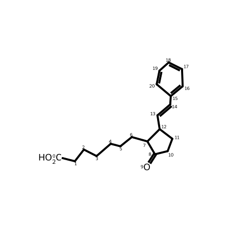 O=C(O)CCCCCCC1C(=O)CCC1C=Cc1ccccc1